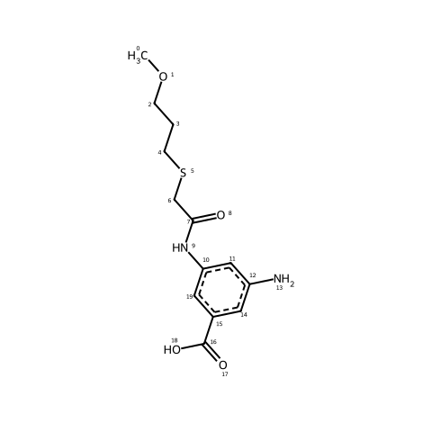 COCCCSCC(=O)Nc1cc(N)cc(C(=O)O)c1